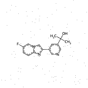 CC(C)(O)c1cncc(-c2cn3cc(F)ccc3n2)c1